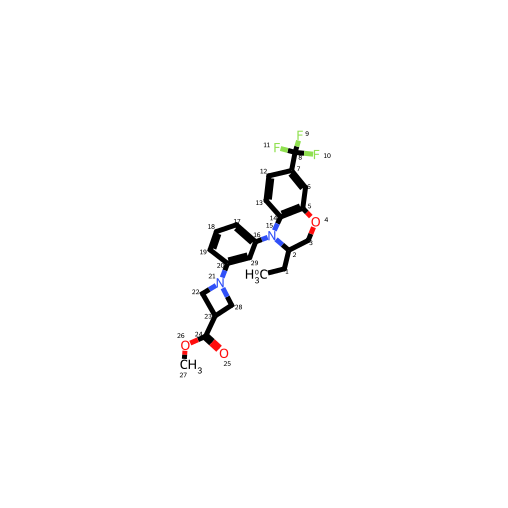 CCC1COc2cc(C(F)(F)F)ccc2N1c1cccc(N2CC(C(=O)OC)C2)c1